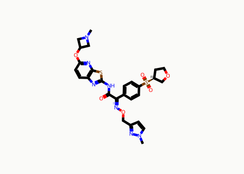 CN1CC(Oc2ccc3nc(NC(=O)/C(=N/OCc4ccn(C)n4)c4ccc(S(=O)(=O)[C@H]5CCOC5)cc4)sc3n2)C1